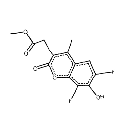 COC(=O)Cc1c(C)c2cc(F)c(O)c(F)c2oc1=O